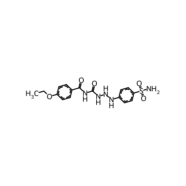 CCOc1ccc(C(=O)NC(=O)NNNc2ccc(S(N)(=O)=O)cc2)cc1